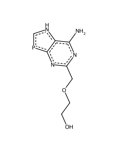 Nc1nc(COCCO)nc2pc[nH]c12